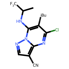 CCC(C)c1c(Cl)nc2c(C#N)cnn2c1NC(C)C(F)(F)F